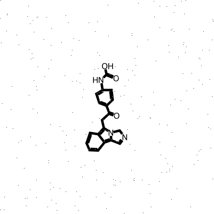 O=C(O)Nc1ccc(C(=O)Cc2c3ccccc3c3n2CN=C3)cc1